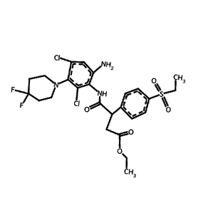 CCOC(=O)CC(C(=O)Nc1c(N)cc(Cl)c(N2CCC(F)(F)CC2)c1Cl)c1ccc(S(=O)(=O)CC)cc1